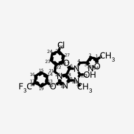 Cc1cc(CN2C(=O)c3c(nc(Oc4cccc(C(F)(F)F)c4)n3Cc3ccc(Cl)cc3)N(C)C2O)no1